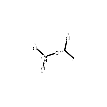 CCCl.Cl[SiH](Cl)Cl